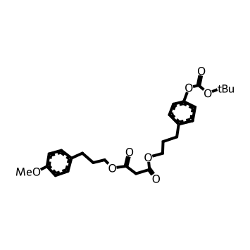 COc1ccc(CCCOC(=O)CC(=O)OCCCc2ccc(OC(=O)OC(C)(C)C)cc2)cc1